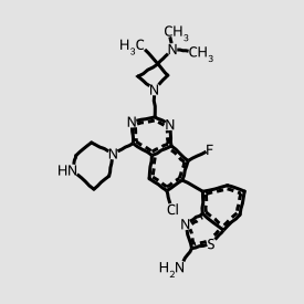 CN(C)C1(C)CN(c2nc(N3CCNCC3)c3cc(Cl)c(-c4cccc5sc(N)nc45)c(F)c3n2)C1